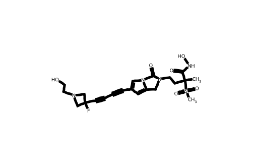 CC(CCN1Cc2cc(C#CC#CC3(F)CN(CCO)C3)cn2C1=O)(C(=O)NO)S(C)(=O)=O